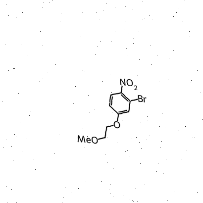 COCCOc1ccc([N+](=O)[O-])c(Br)c1